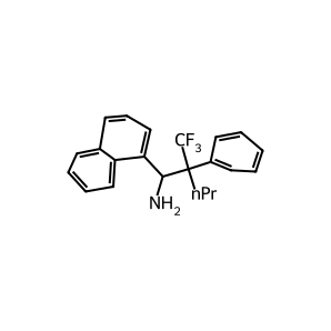 CCCC(c1ccccc1)(C(N)c1cccc2ccccc12)C(F)(F)F